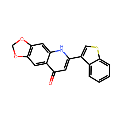 O=c1cc(-c2csc3ccccc23)[nH]c2cc3c(cc12)OCO3